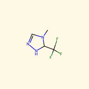 CN1[C]=NNC1C(F)(F)F